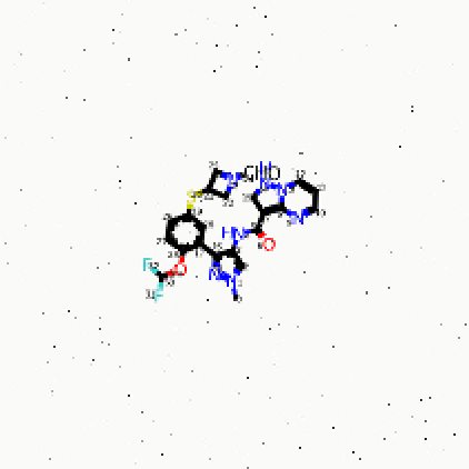 Cn1cc(NC(=O)C2=C3N=CC=CN3NC2)c(-c2cc(SC3CN(C=O)C3)ccc2OC(F)F)n1